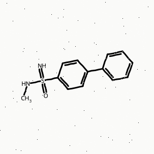 CNS(=N)(=O)c1ccc(-c2ccccc2)cc1